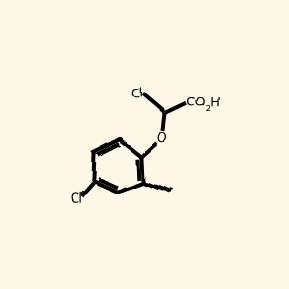 Cc1cc(Cl)ccc1OC(Cl)C(=O)O